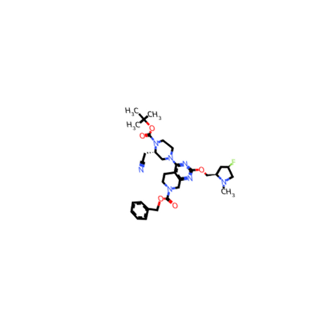 CN1C[C@H](F)C[C@@H]1COc1nc2c(c(N3CCN(C(=O)OC(C)(C)C)[C@@H](CC#N)C3)n1)CCN(C(=O)OCc1ccccc1)C2